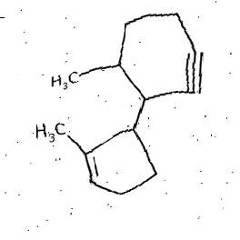 CC1=CCCC1[C]1C#CCCC1C